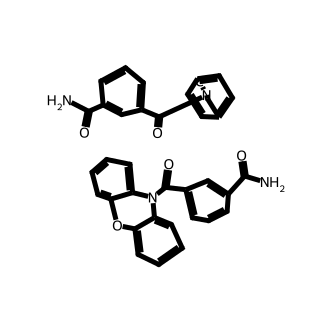 NC(=O)c1cccc(C(=O)N2Cc3ccc(cc3)C2)c1.NC(=O)c1cccc(C(=O)N2c3ccccc3Oc3ccccc32)c1